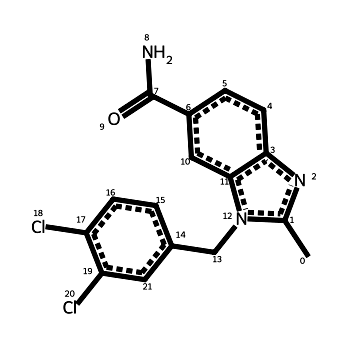 Cc1nc2ccc(C(N)=O)cc2n1Cc1ccc(Cl)c(Cl)c1